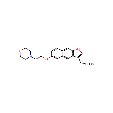 CCOC(=O)Cc1coc2cc3ccc(OCCN4CCOCC4)cc3cc12